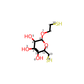 OC1=C(O)C(O)[C@@H](OCCS)OC1CS